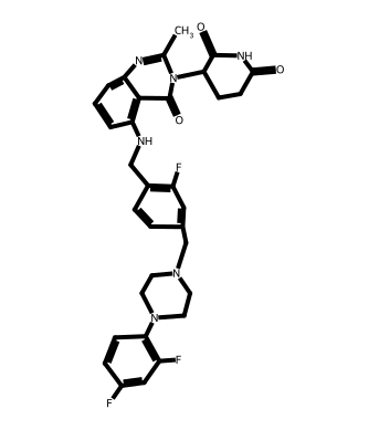 Cc1nc2cccc(NCc3ccc(CN4CCN(c5ccc(F)cc5F)CC4)cc3F)c2c(=O)n1C1CCC(=O)NC1=O